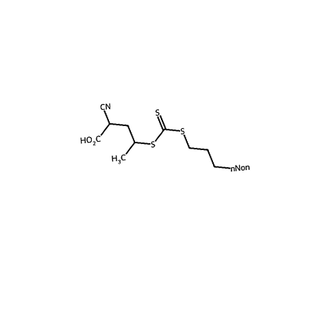 CCCCCCCCCCCCSC(=S)SC(C)CC(C#N)C(=O)O